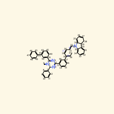 C=N/C(=N\C(=N/Cc1ccccc1)c1cccc(C(/C=C\C=C\N2C3=CC=CCC3c3ccccc32)=C/C)c1)c1cccc(-c2ccccc2)c1